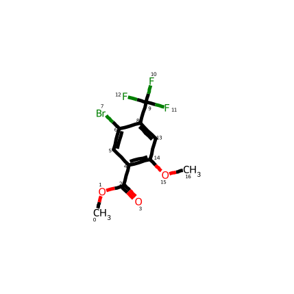 COC(=O)c1cc(Br)c(C(F)(F)F)cc1OC